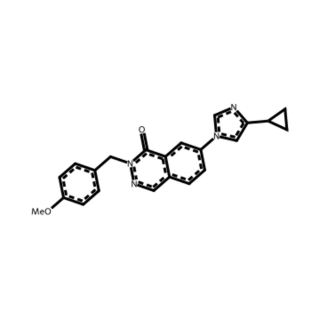 COc1ccc(Cn2ncc3ccc(-n4cnc(C5CC5)c4)cc3c2=O)cc1